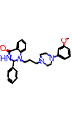 COc1cccc(N2CCN(CCCN3c4ccccc4C(=O)NC3c3ccccc3)CC2)c1